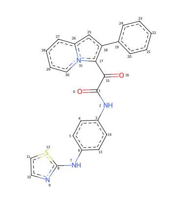 O=C(Nc1ccc(Nc2nccs2)cc1)C(=O)c1c(-c2ccccc2)cc2ccccn12